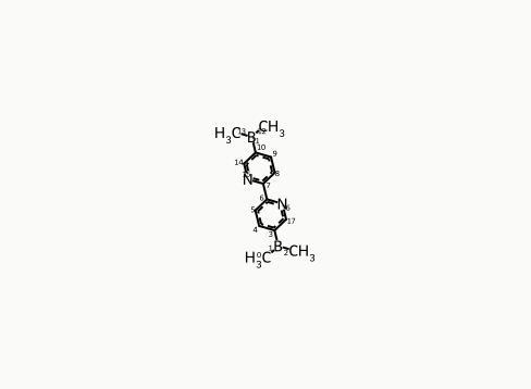 CB(C)c1ccc(-c2ccc(B(C)C)cn2)nc1